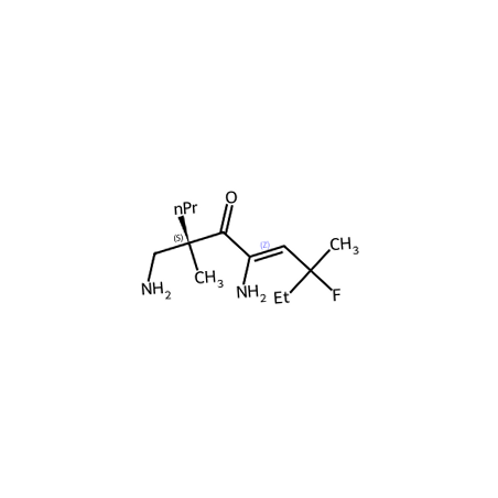 CCC[C@@](C)(CN)C(=O)/C(N)=C/C(C)(F)CC